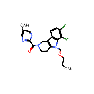 COCCOCn1c2c(c3ccc(Cl)c(Cl)c31)CN(C(=O)c1ncc(OC)cn1)CC2